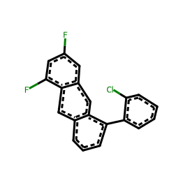 Fc1cc(F)c2cc3cccc(-c4ccccc4Cl)c3cc2c1